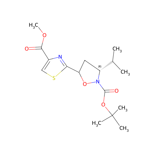 COC(=O)c1csc(C2C[C@H](C(C)C)N(C(=O)OC(C)(C)C)O2)n1